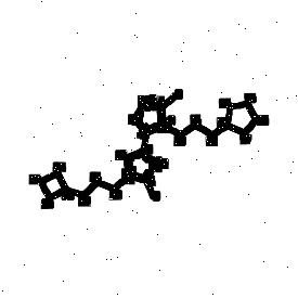 Cc1nc(-c2[c]nc(C)n2CCCC2CCCC2)cn1CCCC1CCC1